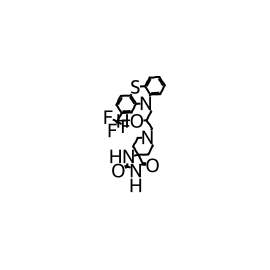 O=C1NC(=O)C2(CCN(CC(O)CN3c4ccccc4Sc4ccc(C(F)(F)F)cc43)CC2)N1